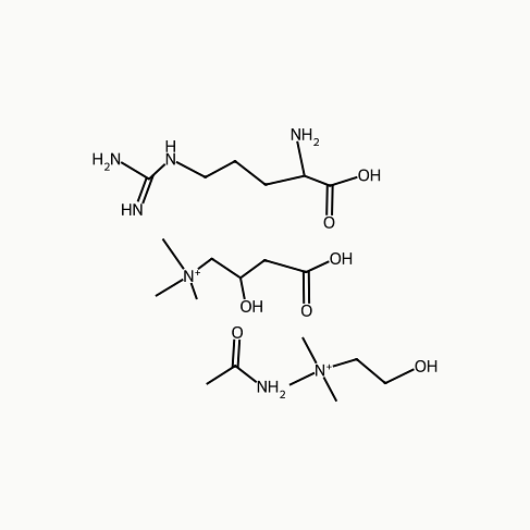 CC(N)=O.C[N+](C)(C)CC(O)CC(=O)O.C[N+](C)(C)CCO.N=C(N)NCCCC(N)C(=O)O